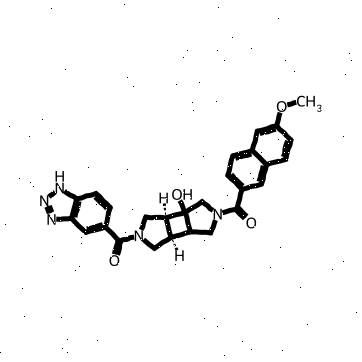 COc1ccc2cc(C(=O)N3CC4[C@H]5CN(C(=O)c6ccc7[nH]nnc7c6)C[C@H]5C4(O)C3)ccc2c1